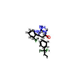 CCC(F)(F)c1ccc([C@H]2C(=O)N(C)C(=N)N[C@]2(C)c2ccccc2F)cc1